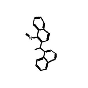 C=Nc1c(C(C)c2cccc3ccccc23)ccc2ccccc12